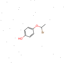 CC(Br)Oc1ccc(O)cc1